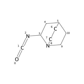 O=C=NC1CC2CCN1CC2